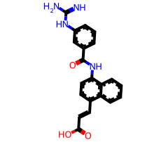 N=C(N)Nc1cccc(C(=O)Nc2ccc(/C=C/C(=O)O)c3ccccc23)c1